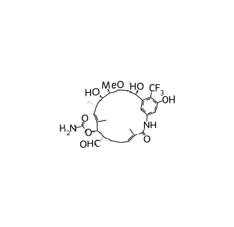 CO[C@H]1C[C@H](C)[C@@H](O)c2cc(cc(O)c2C(F)(F)F)NC(=O)/C(C)=C/CC[C@H](C=O)[C@@H](OC(N)=O)/C(C)=C/[C@H](C)[C@H]1O